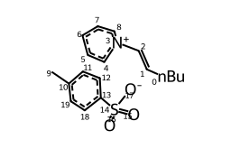 CCCCC=C[n+]1ccccc1.Cc1ccc(S(=O)(=O)[O-])cc1